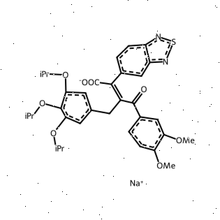 COc1ccc(C(=O)C(Cc2cc(OC(C)C)c(OC(C)C)c(OC(C)C)c2)=C(C(=O)[O-])c2ccc3nsnc3c2)cc1OC.[Na+]